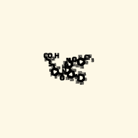 O=C(O)CCSCc1cccc(C(=O)Nc2ccc(N3CCCCC3)cc2-c2cc(Oc3cccc(C(F)(F)F)c3)ncn2)c1